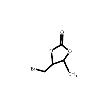 CC1OC(=O)OC1CBr